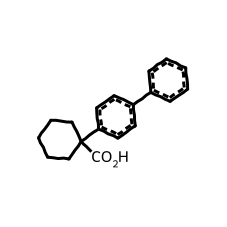 O=C(O)C1(c2ccc(-c3ccccc3)cc2)CCCCC1